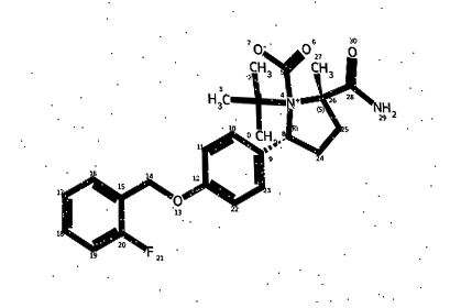 CC(C)(C)[N+]1(C(=O)[O-])[C@@H](c2ccc(OCc3ccccc3F)cc2)CC[C@@]1(C)C(N)=O